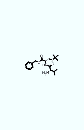 CC(C)[C@H](N)C(=O)N[C@@H](CSC(C)(C)C)C(=O)OCc1ccccc1